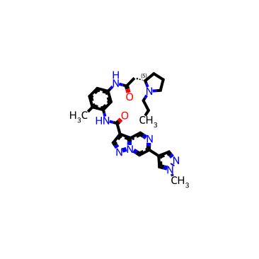 CCCN1CCC[C@H]1CC(=O)Nc1ccc(C)c(NC(=O)c2cnn3cc(-c4cnn(C)c4)ncc23)c1